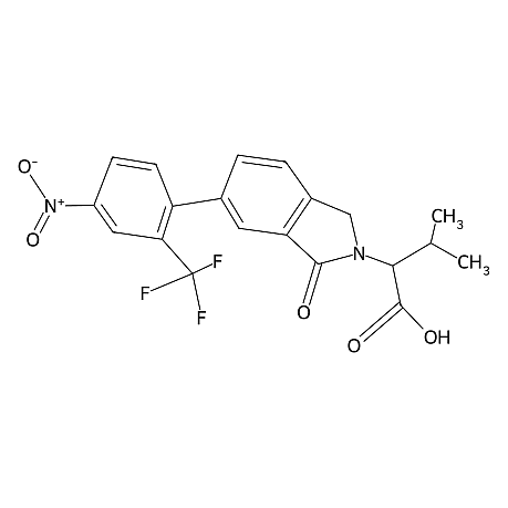 CC(C)C(C(=O)O)N1Cc2ccc(-c3ccc([N+](=O)[O-])cc3C(F)(F)F)cc2C1=O